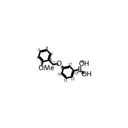 COc1ccccc1COc1cccc(B(O)O)c1